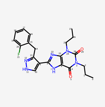 CCCn1c(=O)c2[nH]c(-c3c[nH]nc3Cc3ccccc3F)nc2n(CCC)c1=O